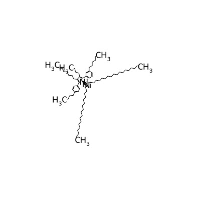 CCCCCCCCC1=C(c2ccc(CCCC)cc2)[N+](=[N-])C(c2cccc(CCCCCC)c2)=C1CCCC.CCCCCCCCCCCCCCCCC[CH2][Ni][CH2]CCCCCCCCCCCCCCCCC